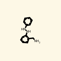 NCc1ccccc1NNc1ccccc1